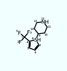 FC(F)(F)C1=CC=C[SH]1C1CCNCC1